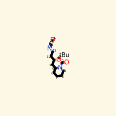 CC(C)(C)OC(=O)N1CCCCC1CCCCN=C=O